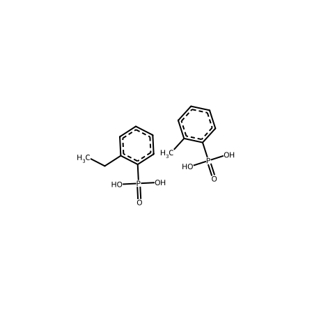 CCc1ccccc1P(=O)(O)O.Cc1ccccc1P(=O)(O)O